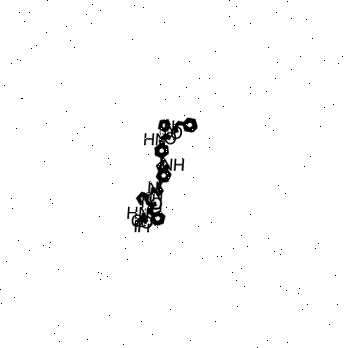 CC(C)OC(=O)N[C@@H](C(=O)N1CCC[C@H]1c1nc(-c2ccc3[nH]c(-c4ccc(NC(=O)[C@@H]5CCCN5C(=O)Cc5cc#ccc5)cc4)cc3c2)c[nH]1)c1ccccc1